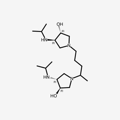 CC(C)N[C@@H]1CN(CCCC(C)N2C[C@@H](O)[C@H](NC(C)C)C2)C[C@H]1O